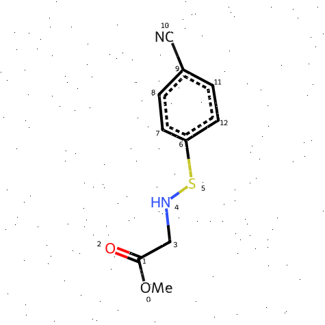 COC(=O)CNSc1ccc(C#N)cc1